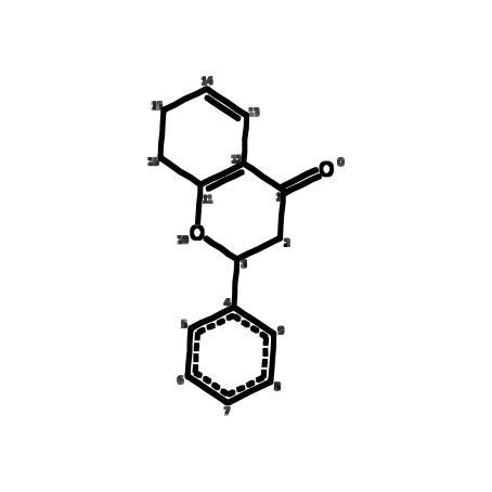 O=C1CC(c2ccccc2)OC2=C1C=CCC2